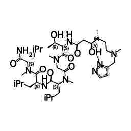 CC(C)C[C@H](NC(=O)[C@H](CC(C)C)N(C)C(=O)CN(C)C(=O)[C@@H](NC(=O)C[C@H](O)[C@H](C)CCN(C)Cc1ccnn1C)[C@@H](C)O)C(=O)N(C)[C@@H](CC(C)C)C(N)=O